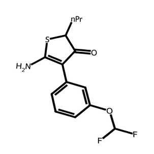 CCCC1SC(N)=C(c2cccc(OC(F)F)c2)C1=O